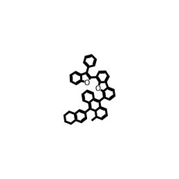 CC1C=CC=C2C(c3cccc4c3oc3c(-c5oc6ccccc6c5-c5ccccc5)cccc34)=c3ccccc3=C(c3ccc4c(c3)CCCC4)C21